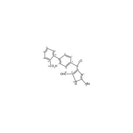 CCCCc1nc(C(Cl)c2ccc(-c3ccccc3C(=O)O)cc2)c(C=O)[nH]1